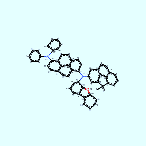 CC1(C)c2cccc3ccc4cc(N(c5ccc6ccc7c(N(c8ccccc8)c8ccccc8)ccc8ccc5c6c87)c5cccc6c5oc5ccccc56)cc1c4c23